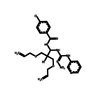 C=CCOCC(CC)(COCC=C)C(NC(=O)c1ccc(Cl)cc1)N/C(=N/[N+](=O)[O-])Nc1cccnc1